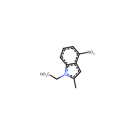 Cc1cc2c([N+](=O)[O-])cccc2n1CC(=O)O